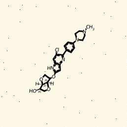 CN1CCN(c2ccc(-c3nc4cc(O[C@@H]5CO[C@H]6[C@@H]5OC[C@H]6O)[nH]c4cc3Cl)cc2)CC1